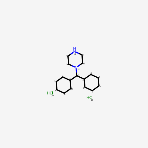 C1CCC(C(C2CCCCC2)N2CCNCC2)CC1.Cl.Cl